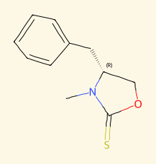 CN1C(=S)OC[C@H]1Cc1ccccc1